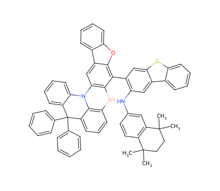 CC1(C)CCC(C)(C)c2cc(Nc3cc4c(cc3-c3c5c(cc6c3oc3ccccc36)N3c6ccccc6C(c6ccccc6)(c6ccccc6)c6cccc(c63)B5)sc3ccccc34)ccc21